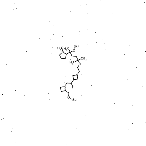 CN1CCCC1C(C)(CCC(C)(C)OCCN1CC(C(F)CN2CC[C@@H]2COC(C)(C)C)C1)OC(C)(C)C